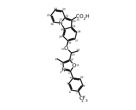 Cc1nc(-c2ccc(C(F)(F)F)cc2)oc1C(C)Oc1ccc2c(C(=O)O)c3ccccn3c2c1